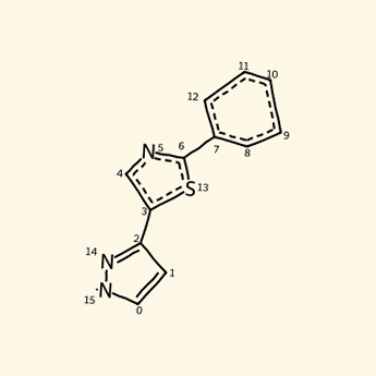 C1=CC(c2cnc(-c3ccccc3)s2)=N[N]1